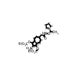 CCOC(=O)Oc1c2ccc(CC(=O)NOC(C)N3CCCC3)ccc-2c(OC(=O)OCC)c1N